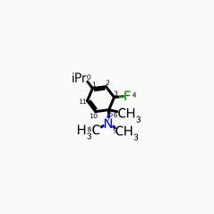 CC(C)C1=CC(F)C(C)(N(C)C)C=C1